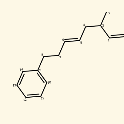 C=CC(C)CC=CCCc1ccccc1